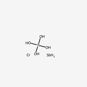 [Cr].[OH][Ti]([OH])([OH])[OH].[SbH3]